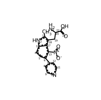 Cc1[nH]c2ccc(-c3ccncc3)c([N+](=O)[O-])c2c1CC(N)C(=O)O